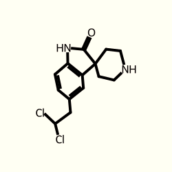 O=C1Nc2ccc(CC(Cl)Cl)cc2C12CCNCC2